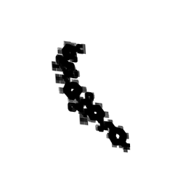 CN(Cc1ccc(F)cc1)c1ccc2c(=O)n(-c3ccc(NC(=O)NS(=O)(=O)c4ccc(Cl)s4)cc3)c(=O)[nH]c2c1